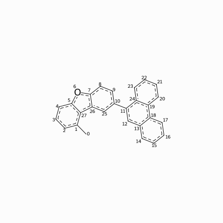 Cc1cccc2oc3ccc(-c4cc5ccccc5c5ccccc45)cc3c12